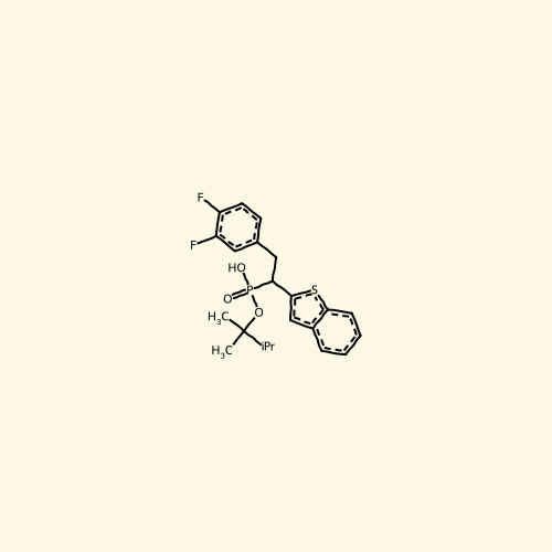 CC(C)C(C)(C)OP(=O)(O)C(Cc1ccc(F)c(F)c1)c1cc2ccccc2s1